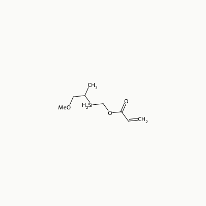 C=CC(=O)OC[SiH2]C(C)COC